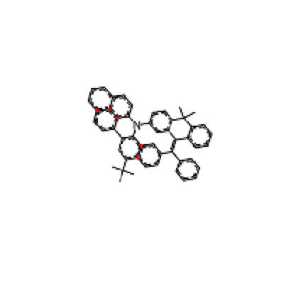 CC(C)(C)c1ccc(N(c2ccc3c(c2)C(=C(c2ccccc2)c2ccccc2)c2ccccc2C3(C)C)c2ccc3ccccc3c2)c(-c2ccccc2)c1